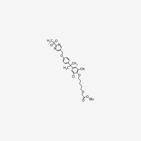 CC(C)(C)OC(=O)COCCCCCOc1c(Cl)cc(C(C)(C)c2ccc(OCc3cnc(S(C)(=O)=O)nc3)cc2)cc1C#N